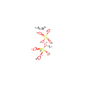 O=S(=O)([O-])[O-].O=S(=O)([O-])[O-].[La+3].[Li+]